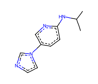 CC(C)Nc1ccc(-n2ccnc2)cn1